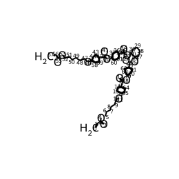 C=CC(=O)OCCCCCCOc1ccc(C(=O)Oc2ccc(C(=O)O[C@@H]3CCCC[C@H]3OC(=O)c3ccc(OC(=O)c4ccc(OCCCCCCOC(=O)C=C)cc4)cc3)cc2)cc1